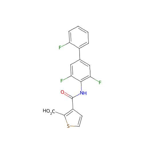 O=C(Nc1c(F)cc(-c2ccccc2F)cc1F)c1ccsc1C(=O)O